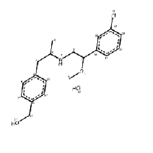 COC(CNC(C)Cc1ccc(CO)cc1)c1cccc(Cl)c1.Cl